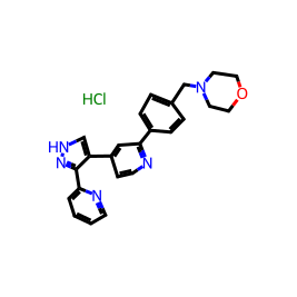 Cl.c1ccc(-c2n[nH]cc2-c2ccnc(-c3ccc(CN4CCOCC4)cc3)c2)nc1